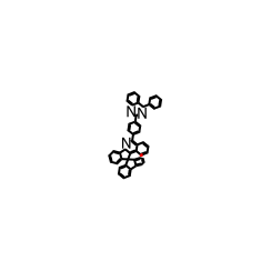 c1ccc(-c2nc(-c3ccc(-c4nc5c(c6ccccc46)C4(c6ccccc6-c6ccccc64)c4ccccc4-5)cc3)nc3ccccc23)cc1